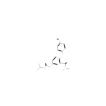 CC(C)NC(=O)Nc1ccc(Oc2ccc([N+](=O)[O-])cc2)c(C(=O)N(C)C)c1